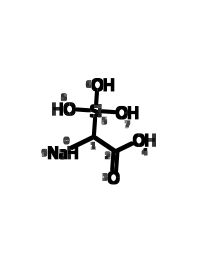 CC(C(=O)O)[Si](O)(O)O.[NaH]